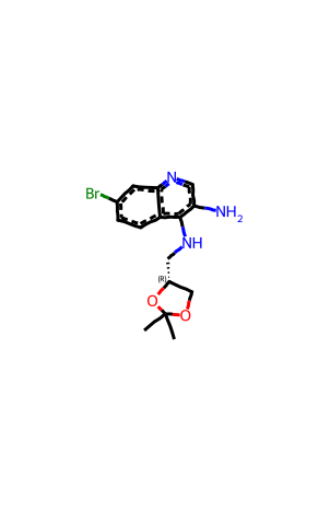 CC1(C)OC[C@@H](CNc2c(N)cnc3cc(Br)ccc23)O1